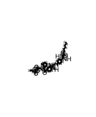 CCCCCCOC(=O)NC(=N)c1ccc(NCc2nc3cc(C(=O)N(CCC(=O)OS(=O)(=O)CCC)c4ccccn4)ccc3n2C)cc1